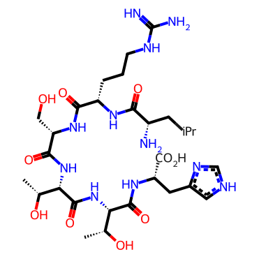 CC(C)C[C@H](N)C(=O)N[C@@H](CCCNC(=N)N)C(=O)N[C@@H](CO)C(=O)N[C@H](C(=O)N[C@H](C(=O)N[C@@H](Cc1c[nH]cn1)C(=O)O)[C@@H](C)O)[C@@H](C)O